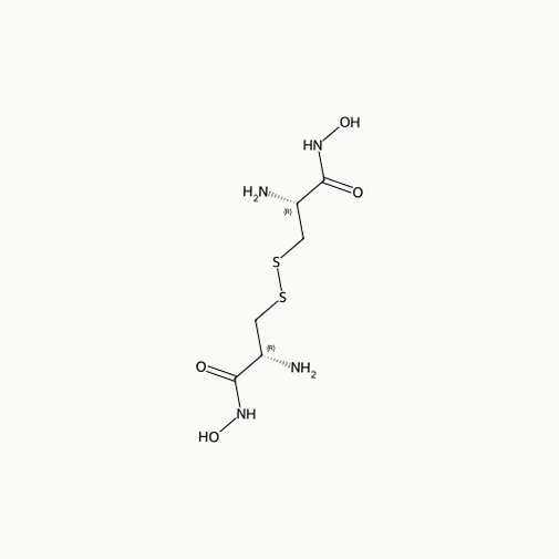 N[C@@H](CSSC[C@H](N)C(=O)NO)C(=O)NO